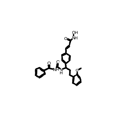 COc1ccccc1CCC(NC(=O)NC(=O)c1ccccc1)c1ccc(C=CC(=O)NO)cc1